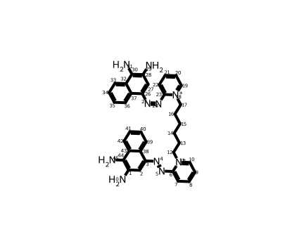 Nc1cc(N=Nc2cccc[n+]2CCCCCC[n+]2ccccc2/N=N\c2cc(N)c(N)c3ccccc23)c2ccccc2c1N